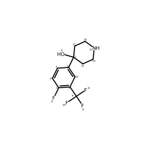 OC1(c2ccc(F)c(C(F)(F)F)c2)CCNCC1